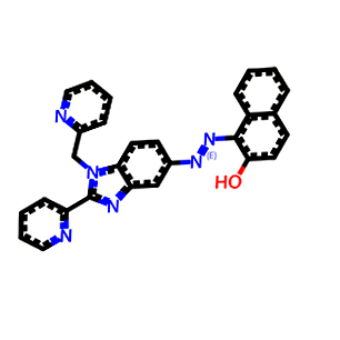 Oc1ccc2ccccc2c1/N=N/c1ccc2c(c1)nc(-c1ccccn1)n2Cc1ccccn1